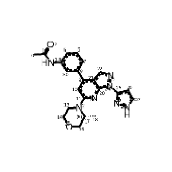 CC(=O)Nc1cccc(-c2cc(N3CCOC[C@H]3C)nc3c2cnn3-c2cc[nH]n2)c1